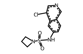 O=S(=O)(Nc1ccc2cncc(Cl)c2c1)N1CCC1